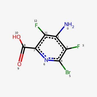 Nc1c(F)c(Br)nc(C(=O)O)c1F